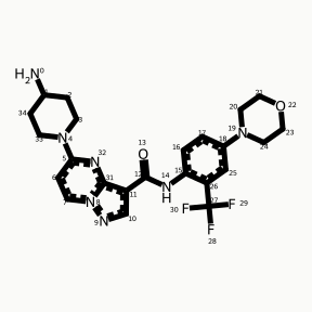 NC1CCN(c2ccn3ncc(C(=O)Nc4ccc(N5CCOCC5)cc4C(F)(F)F)c3n2)CC1